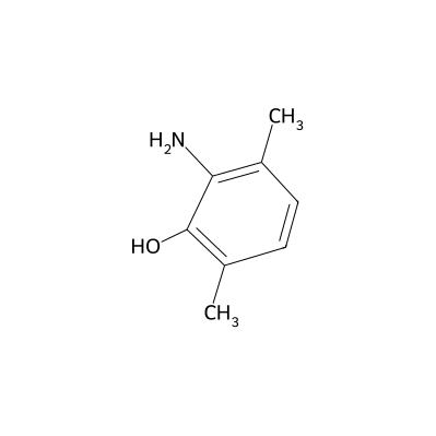 Cc1ccc(C)c(O)c1N